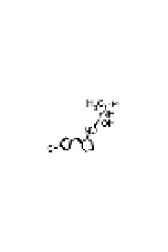 CC(C)[C@@H](C)NC[C@H](O)CO/N=C1\CCCC\C1=C/c1ccc(Cl)cc1